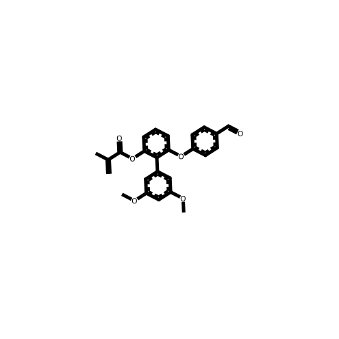 C=C(C)C(=O)Oc1cccc(Oc2ccc(C=O)cc2)c1-c1cc(OC)cc(OC)c1